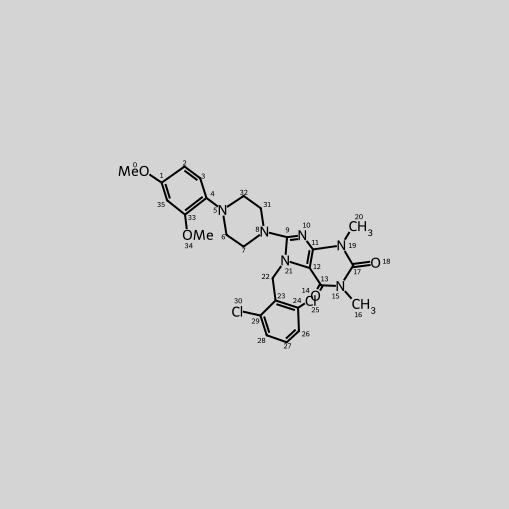 COc1ccc(N2CCN(c3nc4c(c(=O)n(C)c(=O)n4C)n3Cc3c(Cl)cccc3Cl)CC2)c(OC)c1